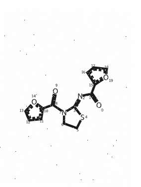 O=C(/N=C1\SCCN1C(=O)c1ccco1)c1ccco1